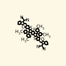 Cc1ccc(C2(c3ccc(C)cc3)c3c(F)c4c(c(F)c3-c3sc5cc(/C=C6\C(=O)c7ccccc7C6=C(C#N)C#N)ccc5c32)C(c2ccc(C)cc2)(c2ccc(C)cc2)c2c-4sc3cc(/C=C4\C(=O)c5ccccc5C4=C(C#N)C#N)ccc23)cc1